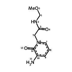 COCNC(=O)Cn1cccc(N)c1=O